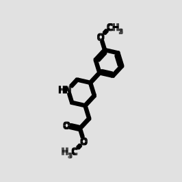 COC(=O)CC1CNCC(c2cccc(OC)c2)C1